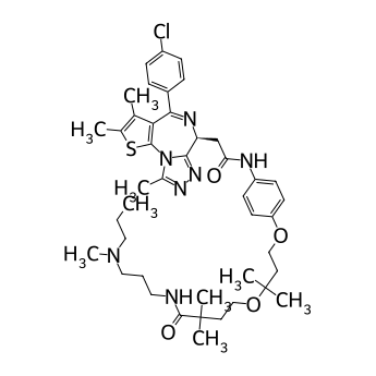 CCCN(C)CCCNC(=O)C(C)(C)CCOC(C)(C)CCOc1ccc(NC(=O)C[C@@H]2N=C(c3ccc(Cl)cc3)c3c(sc(C)c3C)-n3c(C)nnc32)cc1